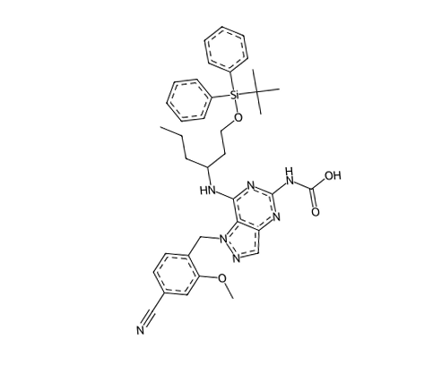 CCCC(CCO[Si](c1ccccc1)(c1ccccc1)C(C)(C)C)Nc1nc(NC(=O)O)nc2cnn(Cc3ccc(C#N)cc3OC)c12